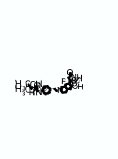 CC(C)(C)OC(=O)N[C@H]1CC[C@H](CCN2CCc3cc(O)c(N4CC(=O)NS4(=O)=O)c(F)c3C2)CC1